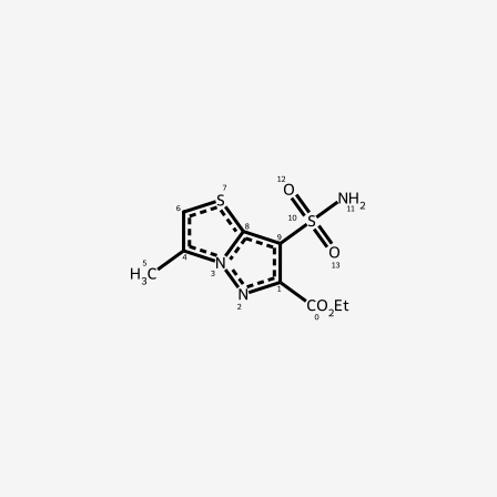 CCOC(=O)c1nn2c(C)csc2c1S(N)(=O)=O